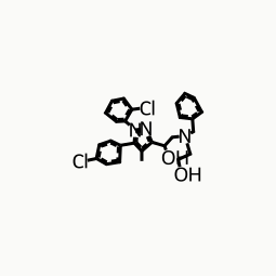 Cc1c(C(O)CN(CCO)Cc2ccccc2)nn(-c2ccccc2Cl)c1-c1ccc(Cl)cc1